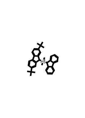 CC(C)(C)c1ccc2c(c1)[CH]([Hf]([CH3])([CH3])[CH]1c3ccccc3-c3ccccc31)c1cc(C(C)(C)C)ccc1-2